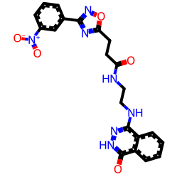 O=C(CCc1nc(-c2cccc([N+](=O)[O-])c2)no1)NCCNc1n[nH]c(=O)c2ccccc12